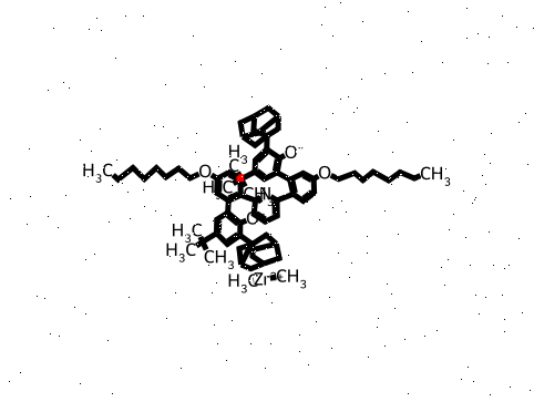 CCCCCCCCOc1ccc(-c2cccc(-c3ccc(OCCCCCCCC)cc3-c3cc(C(C)(C)C)cc(C45CC6CC(CC(C6)C4)C5)c3[O-])n2)c(-c2cc(C(C)(C)C)cc(C34CC5CC(CC(C5)C3)C4)c2[O-])c1.[CH3][Zr+2][CH3]